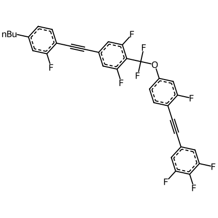 CCCCc1ccc(C#Cc2cc(F)c(C(F)(F)Oc3ccc(C#Cc4cc(F)c(F)c(F)c4)c(F)c3)c(F)c2)c(F)c1